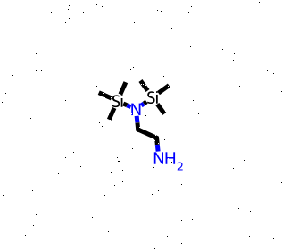 C[Si](C)(C)N(CCN)[Si](C)(C)C